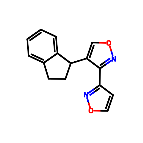 c1ccc2c(c1)CCC2c1conc1-c1ccon1